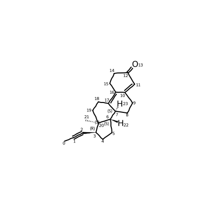 CC#C[C@@H]1CC[C@H]2[C@@H]3CCC4=CC(=O)CCC4=C3CC[C@]12C